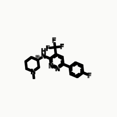 CN1CCC[C@@H](Nc2nnc(-c3ccc(F)cc3)cc2C(F)(F)F)C1